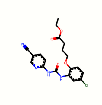 CCOC(=O)CCCOc1ccc(Cl)cc1NC(=O)Nc1ccc(C#N)cn1